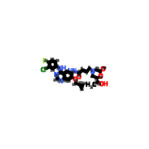 CC(O)[C@H]1CN(CC=CC(=O)Nc2cc3c(Nc4ccc(F)c(Cl)c4)ncnc3cc2OCC2CC2)CC(=O)O1